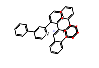 C(=C(/c1ccccc1-c1ccccn1)c1ccccc1-c1cc(-c2ccccc2)ccn1)/c1ccccc1-c1ccccn1